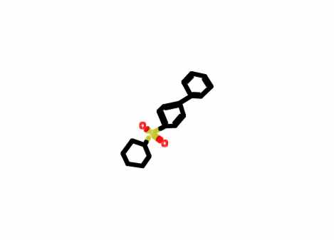 O=S(=O)(c1ccc(-c2ccccc2)cc1)C1CCCCC1